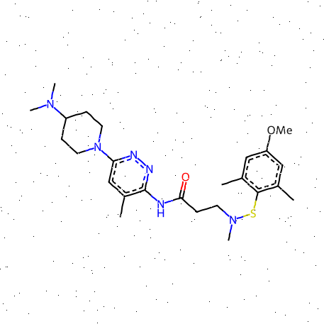 COc1cc(C)c(SN(C)CCC(=O)Nc2nnc(N3CCC(N(C)C)CC3)cc2C)c(C)c1